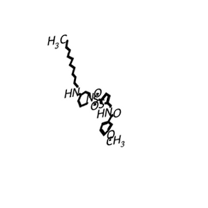 CCCCCCCCCCCCNC1CCCN(S(=O)(=O)c2ccc(CNC(=O)c3cccc(OC)c3)s2)CC1